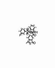 Cn1sc(=O)c2cc(S(=O)(=O)Nc3ccccc3NS(=O)(=O)c3cccc(F)c3)ccc21